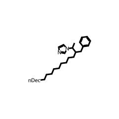 CCCCCCCCCCCCCCCCCCCC(Cc1ccccc1)C(C)n1ccnc1